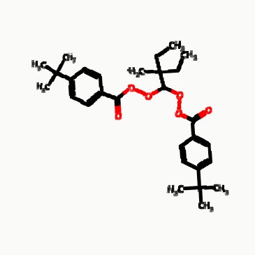 [CH2]C(CC)(CC)[C](OOC(=O)c1ccc(C(C)(C)C)cc1)OOC(=O)c1ccc(C(C)(C)C)cc1